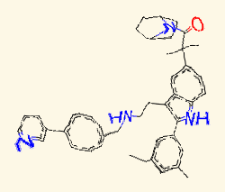 Cc1cc(C)cc(-c2[nH]c3ccc(C(C)(C)C(=O)N4C5CCC4CC5)cc3c2CCNCc2ccc(-c3cccnc3)cc2)c1